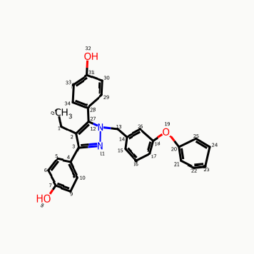 CCc1c(-c2ccc(O)cc2)nn(Cc2cccc(Oc3ccccc3)c2)c1-c1ccc(O)cc1